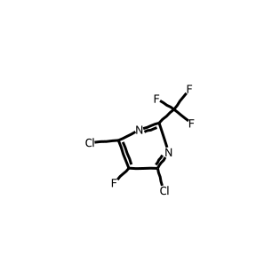 Fc1c(Cl)nc(C(F)(F)F)nc1Cl